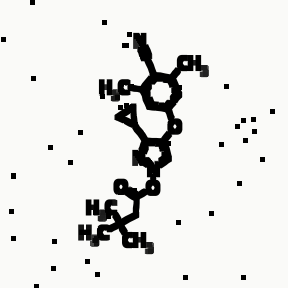 Cc1cc(Oc2cn(OC(=O)CC(C)(C)C)nc2C2CC2)cc(C)c1C#N